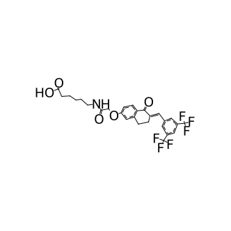 O=C(O)CCCCCNC(=O)COc1ccc2c(c1)CC/C(=C\c1cc(C(F)(F)F)cc(C(F)(F)F)c1)C2=O